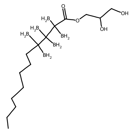 BC(B)(CCCCCCCC)C(B)(B)C(B)(B)C(=O)OCC(O)CO